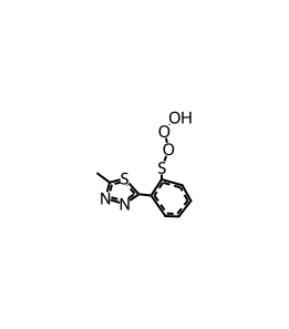 Cc1nnc(-c2ccccc2SOOO)s1